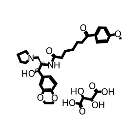 COc1ccc(C(=O)CCCCCC(=O)N[C@H](CN2CCCC2)[C@H](O)c2ccc3c(c2)OCCO3)cc1.O=C(O)C(O)C(O)C(=O)O